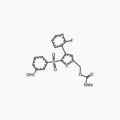 CNC(=O)OCc1cc(-c2cccnc2F)c(S(=O)(=O)c2cccc(C=O)c2)s1